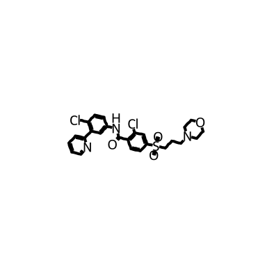 O=C(Nc1ccc(Cl)c(-c2ccccn2)c1)c1ccc(S(=O)(=O)CCCN2CCOCC2)cc1Cl